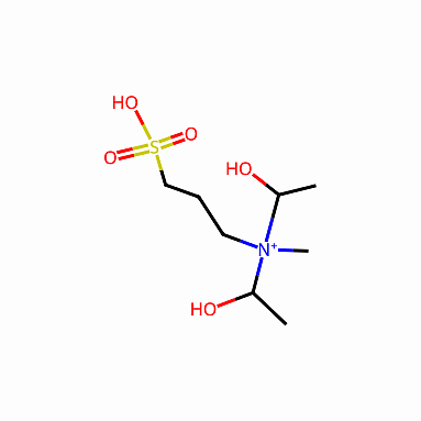 CC(O)[N+](C)(CCCS(=O)(=O)O)C(C)O